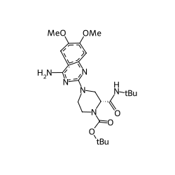 COc1cc2nc(N3CCN(C(=O)OC(C)(C)C)[C@@H](C(=O)NC(C)(C)C)C3)nc(N)c2cc1OC